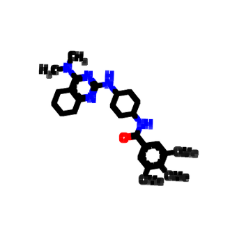 COc1cc(C(=O)NC2CCC(Nc3nc4c(c(N(C)C)n3)CCCC4)CC2)cc(OC)c1OC